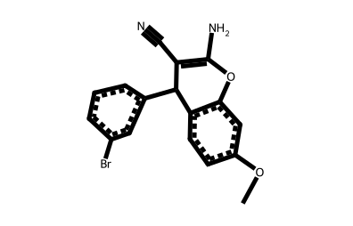 COc1ccc2c(c1)OC(N)=C(C#N)C2c1cccc(Br)c1